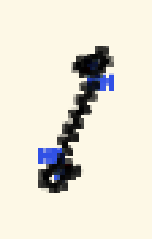 C=CN1C2=CCC(NCCCCCCCCCCNC3=C4CCC(=CC3)N4C=C)=C1CCC2